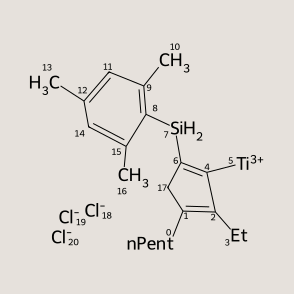 CCCCCC1=C(CC)[C]([Ti+3])=C([SiH2]c2c(C)cc(C)cc2C)C1.[Cl-].[Cl-].[Cl-]